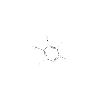 [O-][n+]1c[n+]([O-])c(Cl)[n+]([O-])c1Cl